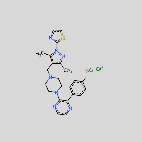 Cc1nn(-c2nccs2)c(C)c1CN1CCN(c2nccnc2-c2ccc(F)cc2)CC1.Cl.Cl